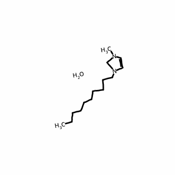 CCCCCCCCCCN1C=CN(C)C1.O